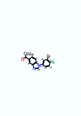 COC(=O)c1ccc2c(c1)ncn2-c1ccc(F)c(Br)c1